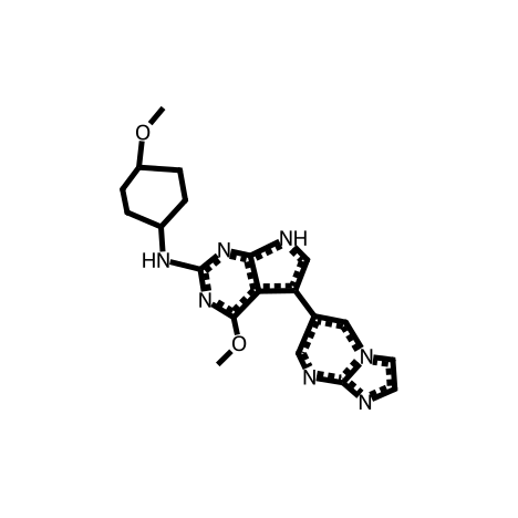 COc1nc(NC2CCC(OC)CC2)nc2[nH]cc(-c3cnc4nccn4c3)c12